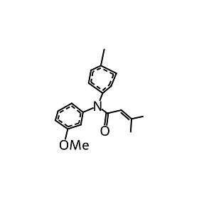 COc1cccc(N(C(=O)C=C(C)C)c2ccc(C)cc2)c1